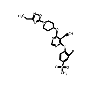 C#Cc1c(Oc2ccc(S(C)(=O)=O)cc2F)ncnc1OC1CCN(c2nc(CC)no2)CC1